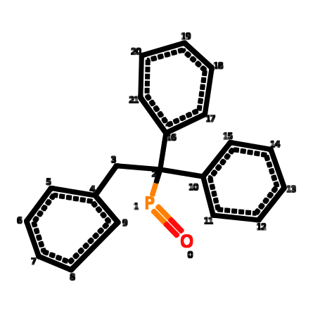 O=PC(Cc1ccccc1)(c1ccccc1)c1ccccc1